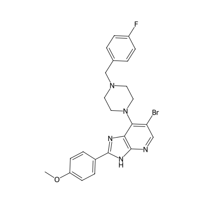 COc1ccc(-c2nc3c(N4CCN(Cc5ccc(F)cc5)CC4)c(Br)cnc3[nH]2)cc1